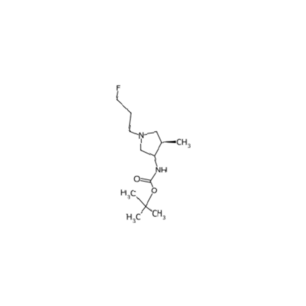 C[C@@H]1CN(CCCF)CC1NC(=O)OC(C)(C)C